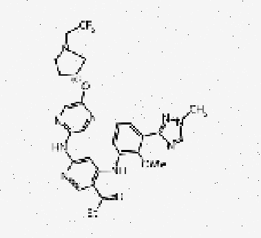 CCC(=O)c1cnc(Nc2cnc(O[C@@H]3CCN(CC(F)(F)F)C3)cn2)cc1Nc1cccc(-c2ncn(C)n2)c1OC